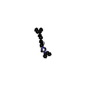 C=C1/C=C\C(c2ccc3c(c2)oc2cc(-c4ccc5cc(-c6cc7ccccc7c7c6ccc6ccccc67)ccc5c4)ccc23)=C/C/C=C\C(c2cc3ccccc3c3c2ccc2ccccc23)=C/1